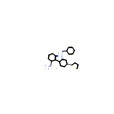 NC(=O)c1cccc2c1c1[c]cc(-c3cccs3)cc1n2Cc1cc(F)cc(F)c1F